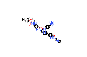 CC(C)(C)OC(=O)NC[C@H]1CC[C@H](C(=O)NC(Cc2ccc(-c3ccc(C(=O)NCCN4CCCC4)cc3)cc2)C(=O)Nc2ccc(-c3nnn[nH]3)cc2)CC1